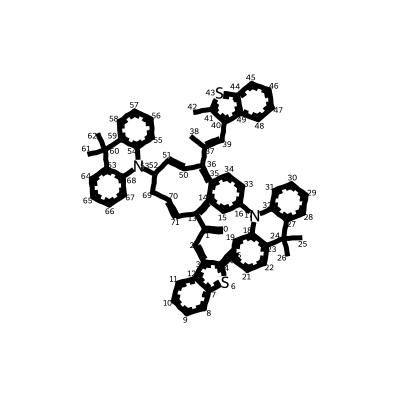 C=C(/C=c1\c(=C)sc2ccccc12)C1=c2/cc(N3c4ccccc4C(C)(C)c4ccccc43)cc/c2=C(\C(C)=C\c2c(C)sc3ccccc23)/C=C/C(N2c3ccccc3C(C)(C)c3ccccc32)C/C=C/1